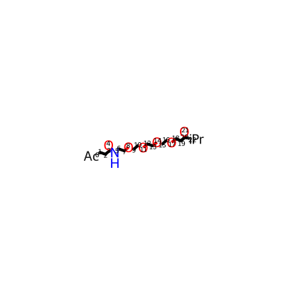 CC(=O)CCC(=O)NCCOCCOCCOCCOCCC(=O)C(C)C